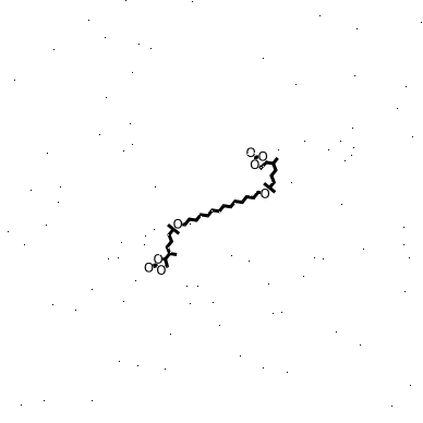 CC(CCCC(C)(C)OCCCCCCCCCCCCCCOC(C)(C)CCCC(C)C1COC(=O)O1)C1COC(=O)O1